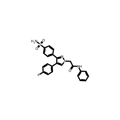 NS(=O)(=O)c1ccc(-c2nn(CC(=O)Nc3ccccc3)cc2-c2ccc(F)cc2)cc1